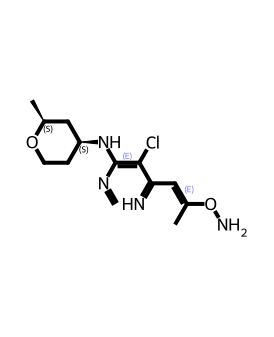 C=N/C(N[C@H]1CCO[C@@H](C)C1)=C(/Cl)C(=N)/C=C(\C)ON